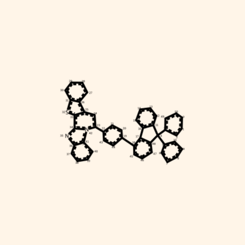 c1ccc(C2(c3ccccc3)c3ccccc3-c3c(-c4ccc(-c5cc6c7ccccc7sc6c6nc7ccccc7n56)cc4)cccc32)cc1